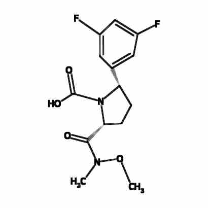 CON(C)C(=O)[C@H]1CC[C@@H](c2cc(F)cc(F)c2)N1C(=O)O